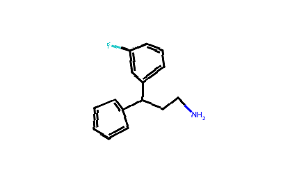 NCCC(c1ccccc1)c1cccc(F)c1